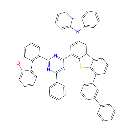 c1ccc(-c2cccc(-c3cccc4c3sc3c(-c5nc(-c6ccccc6)nc(-c6cccc7oc8ccccc8c67)n5)cc(-n5c6ccccc6c6ccccc65)cc34)c2)cc1